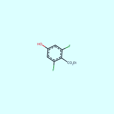 CCOC(=O)c1c(F)cc(O)cc1F